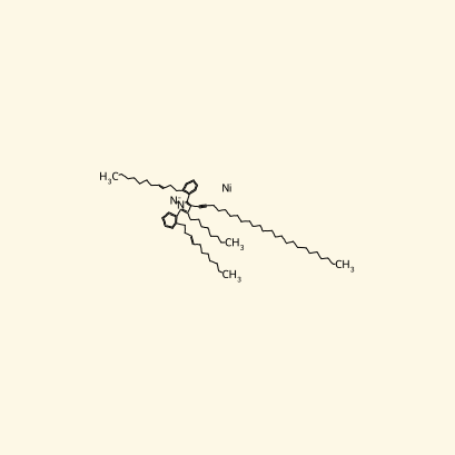 CCCCCCCC=CCCc1ccccc1C1=C(C#CCCCCCCCCCCCCCCCCCCCCCCC)C(CCCCCCCC)=C(c2ccccc2CCC=CCCCCCCC)[N+]1=[N-].[Ni]